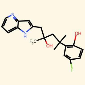 CC(C)(CC(O)(Cc1cc2ncccc2[nH]1)C(F)(F)F)c1cc(F)ccc1O